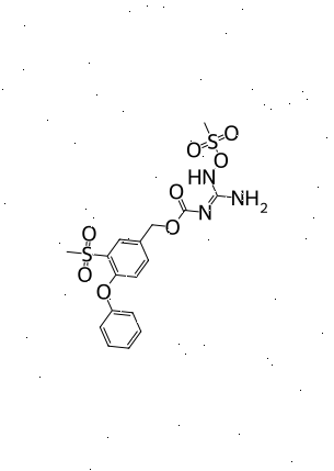 CS(=O)(=O)ONC(N)=NC(=O)OCc1ccc(Oc2ccccc2)c(S(C)(=O)=O)c1